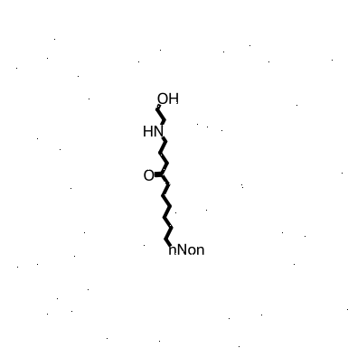 CCCCCCCCCCCCCCCC(=O)CCCNCCO